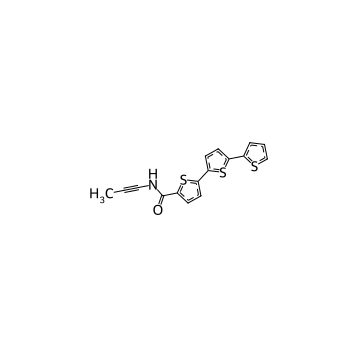 CC#CNC(=O)c1ccc(-c2ccc(-c3cccs3)s2)s1